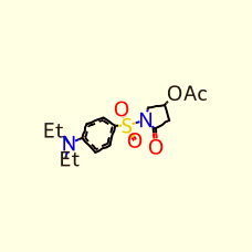 CCN(CC)c1ccc(S(=O)(=O)N2CC(OC(C)=O)CC2=O)cc1